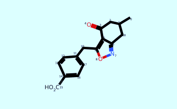 CC1CC(=O)c2c(noc2Cc2ccc(C(=O)O)cc2)C1